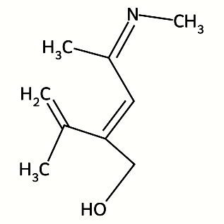 C=C(C)/C(=C\C(C)=N/C)CO